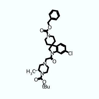 C[C@@H]1CN(CC(=O)N2CC3(CCN(C(=O)OCc4ccccc4)CC3)c3ccc(Cl)cc32)CCN1C(=O)OC(C)(C)C